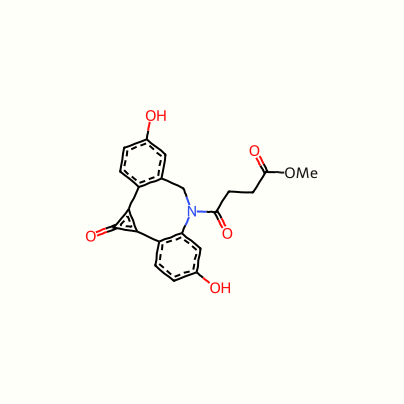 COC(=O)CCC(=O)N1Cc2cc(O)ccc2-c2c(c2=O)-c2ccc(O)cc21